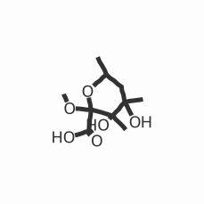 COC1(C(=O)O)OC(C)CC(C)(O)C1(C)O